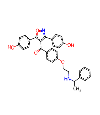 CC(NCCOc1ccc(C(=O)c2c(-c3ccc(O)cc3)noc2-c2ccc(O)cc2)cc1)c1ccccc1